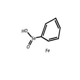 O=[Se](O)c1ccccc1.[Fe]